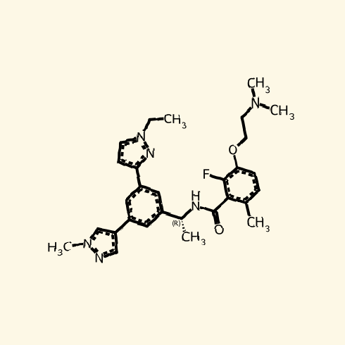 CCn1ccc(-c2cc(-c3cnn(C)c3)cc([C@@H](C)NC(=O)c3c(C)ccc(OCCN(C)C)c3F)c2)n1